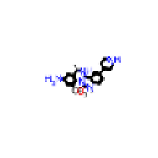 C[C@@H](Nc1nc(=O)n(C)c2ccc(C3=CCNCC3)cc12)c1cc(N)cc(C(F)(F)F)c1